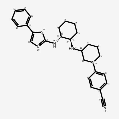 N#Cc1ccc(N2CCCC(N[C@@H]3CCCC[C@H]3Nc3ncc(-c4ccccc4)s3)C2)cc1